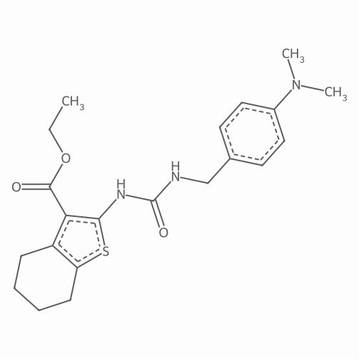 CCOC(=O)c1c(NC(=O)NCc2ccc(N(C)C)cc2)sc2c1CCCC2